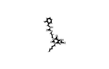 CCCCCn1c(=O)n(CCCOC(=O)NCc2ccccc2C)c(=O)c2[nH]c(Cl)nc21